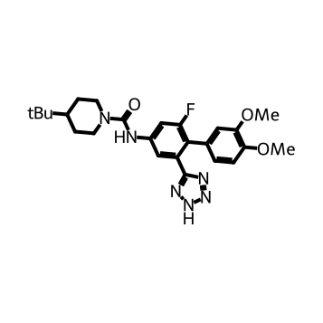 COc1ccc(-c2c(F)cc(NC(=O)N3CCC(C(C)(C)C)CC3)cc2-c2nn[nH]n2)cc1OC